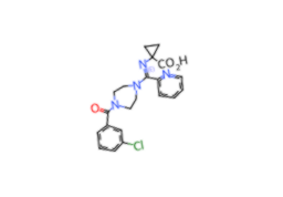 O=C(c1cccc(Cl)c1)N1CCN(/C(=N/C2(C(=O)O)CC2)c2ccccn2)CC1